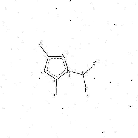 Cc1cc(C)n(C(F)F)n1